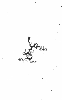 C#CCON=C(C(=O)NC1C(=O)N2C(C(=O)O)=C(OC)CS[C@@H]12)c1csc(NC=O)n1